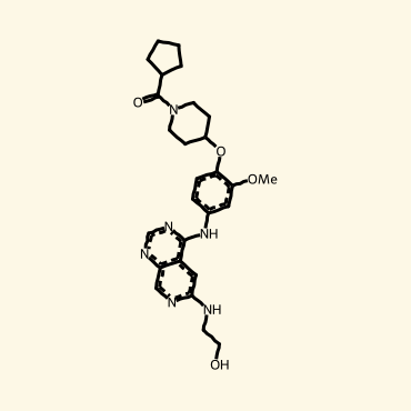 COc1cc(Nc2ncnc3cnc(NCCO)cc23)ccc1OC1CCN(C(=O)C2CCCC2)CC1